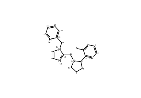 Cc1cccnc1C1CCCN1Cc1nccn1Cc1ccccn1